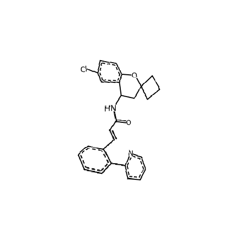 O=C(C=Cc1ccccc1-c1ccccn1)NC1CC2(CCC2)Oc2ccc(Cl)cc21